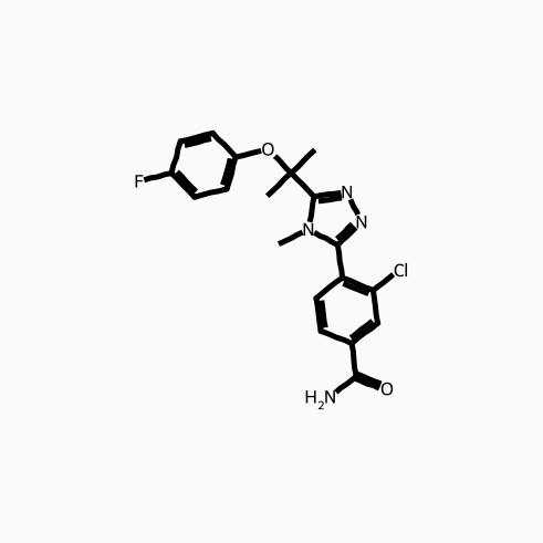 Cn1c(-c2ccc(C(N)=O)cc2Cl)nnc1C(C)(C)Oc1ccc(F)cc1